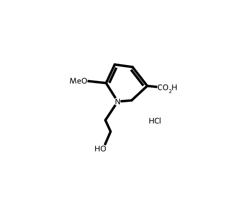 COC1=CC=C(C(=O)O)CN1CCO.Cl